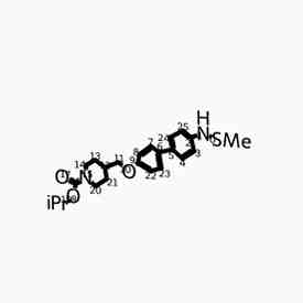 CSNc1ccc(-c2ccc(OCC3CCN(C(=O)OC(C)C)CC3)cc2)cc1